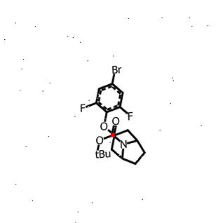 CC(C)(C)OC(=O)N1C2CCC1CC(Oc1c(F)cc(Br)cc1F)C2